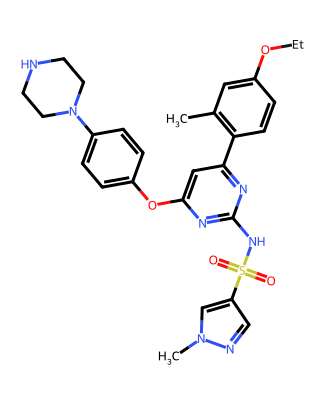 CCOc1ccc(-c2cc(Oc3ccc(N4CCNCC4)cc3)nc(NS(=O)(=O)c3cnn(C)c3)n2)c(C)c1